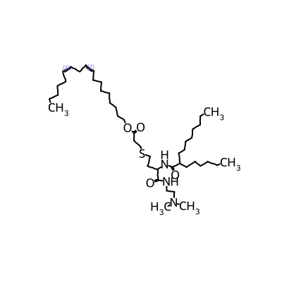 CCCCC/C=C\C/C=C\CCCCCCCCOC(=O)CCSCCC(NC(=O)C(CCCCCC)CCCCCCCC)C(=O)NCCN(C)C